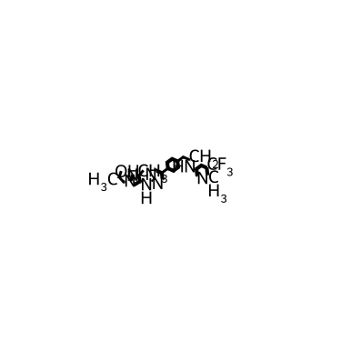 C=C(Cc1ccc(-c2cnc(Nc3cn(C[C@H](C)O)nc3C)nc2)cc1)Nc1cnc(C)c(C(F)(F)F)c1